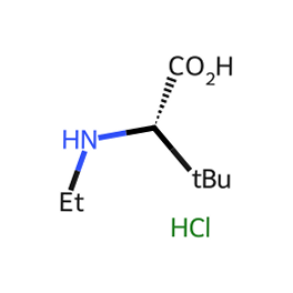 CCN[C@H](C(=O)O)C(C)(C)C.Cl